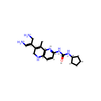 CC1=C(/C(=C/N)CN)CNc2ccc(NC(=O)NC3CCCC3)nc21